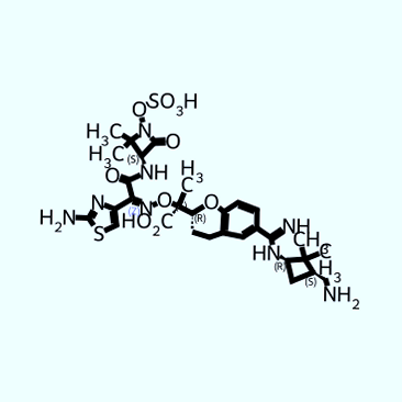 CC1(C)[C@@H](CN)C[C@H]1NC(=N)c1ccc2c(c1)CC[C@H]([C@](C)(O/N=C(\C(=O)N[C@@H]1C(=O)N(OS(=O)(=O)O)C1(C)C)c1csc(N)n1)C(=O)O)O2